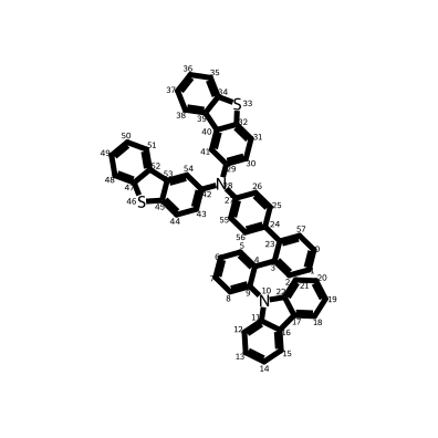 c1ccc(-c2ccccc2-n2c3ccccc3c3ccccc32)c(-c2ccc(N(c3ccc4sc5ccccc5c4c3)c3ccc4sc5ccccc5c4c3)cc2)c1